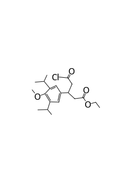 CCOC(=O)CC(CC(=O)Cl)c1cc(C(C)C)c(OC)c(C(C)C)c1